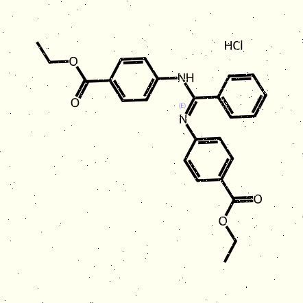 CCOC(=O)c1ccc(/N=C(/Nc2ccc(C(=O)OCC)cc2)c2ccccc2)cc1.Cl